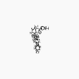 Cc1ccc(CC(=O)O)cc1S(=O)(=O)N1CCN(c2ccc(Cl)cc2)CC1